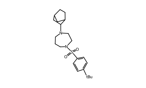 CC(C)(C)c1ccc(S(=O)(=O)N2CCCN(C3CC4CCC3C4)CC2)cc1